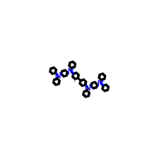 [c]1cc(N(c2ccccc2)c2ccc(N(c3ccccc3)c3ccccc3)cc2)ccc1-c1ccc(N(c2ccccc2)c2ccc(N(c3ccccc3)c3ccccc3)cc2)cc1